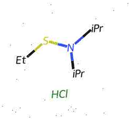 CCSN(C(C)C)C(C)C.Cl